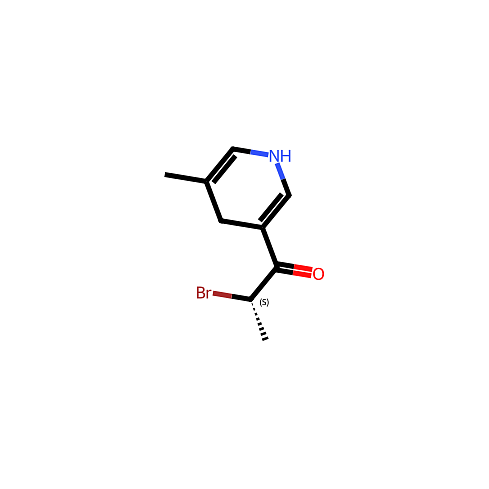 CC1=CNC=C(C(=O)[C@H](C)Br)C1